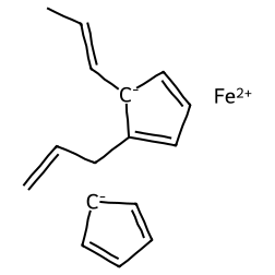 C=CCc1ccc[c-]1C=CC.[Fe+2].c1cc[cH-]c1